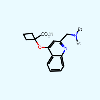 CCN(CC)Cc1cc(OC2(C(=O)O)CCC2)c2ccccc2n1